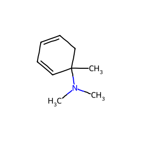 CN(C)C1(C)C=CC=CC1